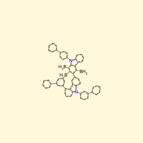 Bc1c(-c2ccc3c(c2)c2c(-c4cccc(-c5ccccc5)c4)cccc2n3-c2cccc(-c3ccccc3)c2)c(B)c2c3ccccc3n(-c3ccc(-c4ccccc4)cc3)c2c1B